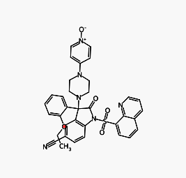 CCOc1ccccc1C1(N2CCN(c3cc[n+]([O-])cc3)CC2)C(=O)N(S(=O)(=O)c2cccc3cccnc23)c2ccc(C#N)cc21